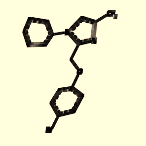 FC(F)(F)c1cn(-c2ccccc2)c(COc2ccc(Br)cc2)n1